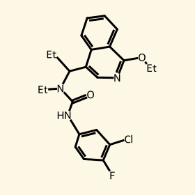 CCOc1ncc(C(CC)N(CC)C(=O)Nc2ccc(F)c(Cl)c2)c2ccccc12